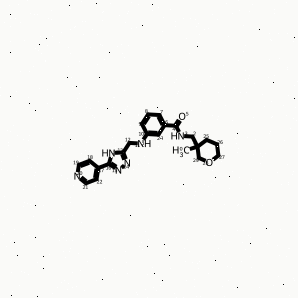 CC1(CNC(=O)c2cccc(NCc3nnc(-c4ccncc4)[nH]3)c2)CCCOC1